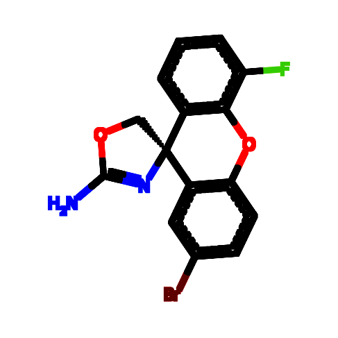 NC1=N[C@]2(CO1)c1cc(Br)ccc1Oc1c(F)cccc12